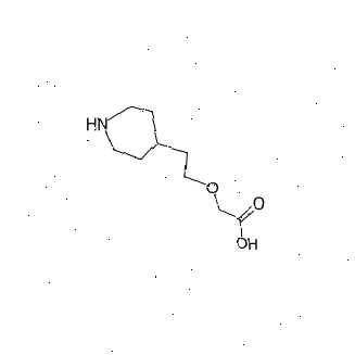 O=C(O)COCCC1CCNCC1